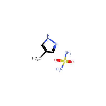 NS(N)(=O)=O.O=C(O)c1cn[nH]c1